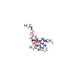 CC#CCOc1ccc(S(=O)(=O)N(C)c2c(C(=O)O)cnc3c2c(C)nn3C)cc1